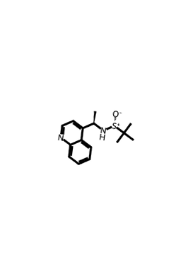 C[C@@H](N[S@+]([O-])C(C)(C)C)c1ccnc2ccccc12